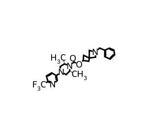 C[C@@H]1CN(c2ccc(C(F)(F)F)nc2)C[C@H](C)N1C(=O)OC1CC2(C1)CN(Cc1ccccc1)C2